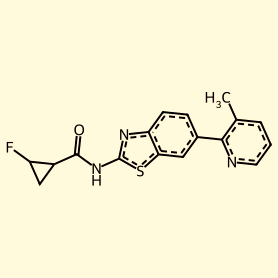 Cc1cccnc1-c1ccc2nc(NC(=O)C3CC3F)sc2c1